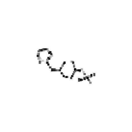 CS(=O)(=O)O[C@H]1CC[C@@H](Oc2ncccn2)CC1